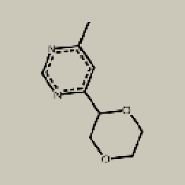 Cc1cc(C2COCCO2)ncn1